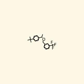 CC(OCc1cccc(C(F)(F)F)c1)c1ccc(C(C)(C)C)cc1